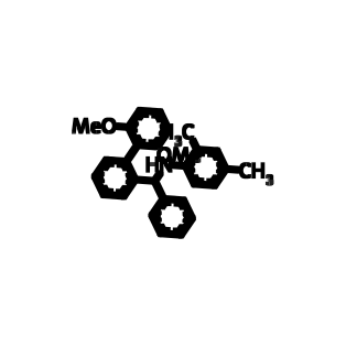 COc1cccc(OC)c1-c1ccccc1C(Nc1ccc(C)cc1C)c1ccccc1